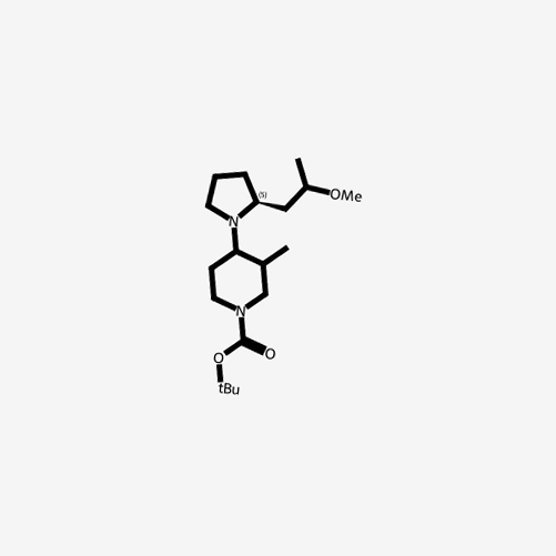 COC(C)C[C@@H]1CCCN1C1CCN(C(=O)OC(C)(C)C)CC1C